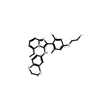 CCc1cccc2nc(-c3c(C)cc(OCCF)cc3C)c(Nc3ccc4c(c3)OCCO4)n12